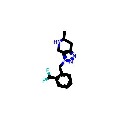 CC1Cc2nnn(Cc3ccccc3C(F)F)c2CN1